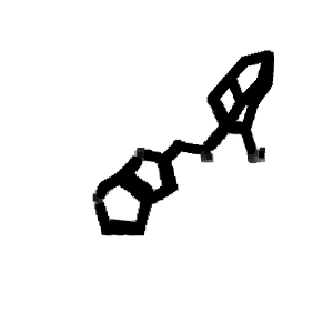 OC1C2CC3CC(C2)CC1(NCc1cc2ccsc2s1)C3